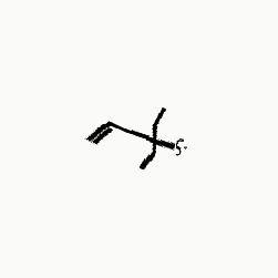 C=CC(C)(C)[S]